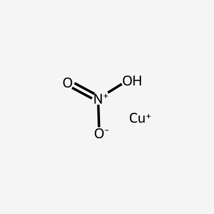 O=[N+]([O-])O.[Cu+]